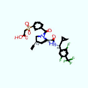 C#C[C@@H]1C[C@H](C(=O)N[C@@H](c2cc(F)c(C(F)(F)F)cc2F)C2CC2)N(C(=O)c2cccc(S(=O)(=O)CC(=O)O)c2)C1